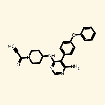 C#CC(=O)N1CCC(Nc2ncnc(N)c2-c2ccc(Oc3ccccc3)cc2)CC1